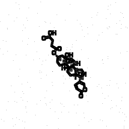 C[C@]12CC[C@H]3[C@@H](CC[C@]4(O)C[C@@H](OC(=O)CCC(=O)O)CC[C@]34C=O)[C@@]1(O)CC[C@@H]2c1ccc(=O)oc1